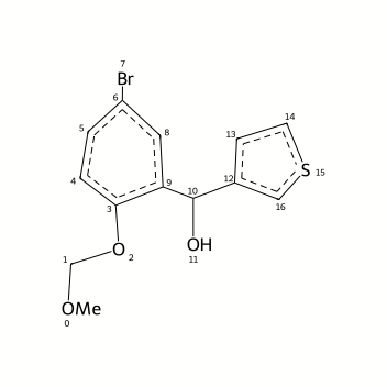 COCOc1ccc(Br)cc1C(O)c1ccsc1